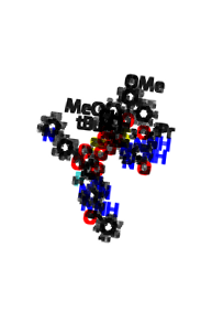 COc1ccc(C(OC[C@H]2S[C@@H](n3cnc4c(=O)[nH]c(NC(=O)C(C)C)nc43)[C@H](OP(O)(=S)OC[C@H]3O[C@@H](n4cnc5c(NC(=O)c6ccccc6)ncnc54)[C@@H](F)[C@@H]3OC(=O)c3ccccc3)[C@@H]2O[Si](C)(C)C(C)(C)C)(c2ccccc2)c2ccc(OC)cc2)cc1.c1ccncc1